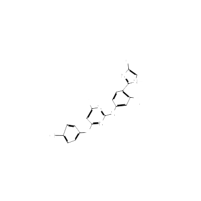 COc1cc(Nc2nc(C)cc(Oc3ccc(Cl)cc3)n2)ccc1-c1nc(C)c[nH]1